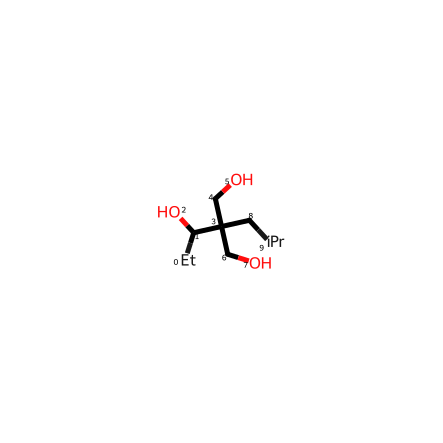 CCC(O)C(CO)(CO)CC(C)C